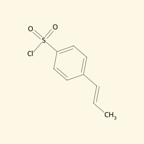 CC=Cc1ccc(S(=O)(=O)Cl)cc1